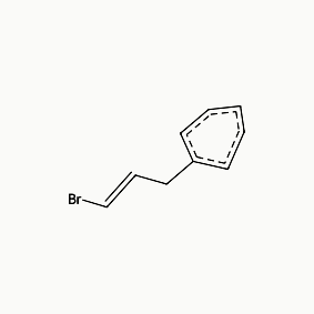 Br/C=C/Cc1ccccc1